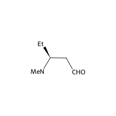 CC[C@@H](CC=O)NC